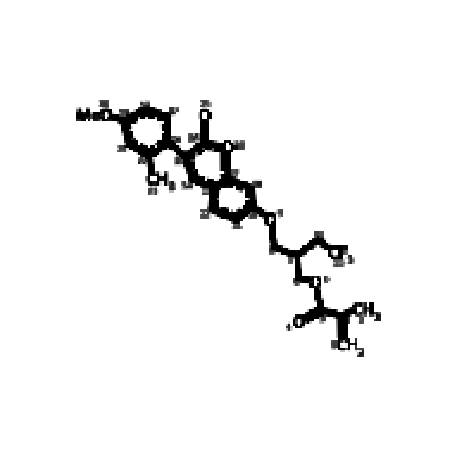 C=C(C)C(=O)OCC(COc1ccc2cc(-c3ccc(OC)cc3C)c(=O)oc2c1)CC(F)(F)F